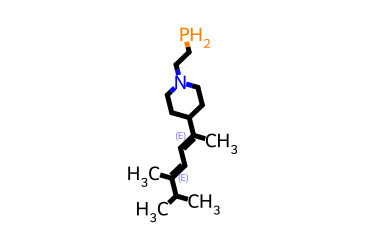 C/C(=C\C=C(/C)C1CCN(CCP)CC1)C(C)C